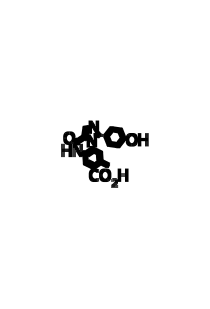 Cc1cc2c(cc1C(=O)O)[nH]c(=O)c1cnc([C@H]3CC[C@H](O)CC3)n12